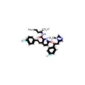 CSCC[C@H](NC(=O)c1nc(OC(Cc2cncn2C)c2ccc(F)cc2)ccc1CCc1ccc(F)cc1)C(=O)O